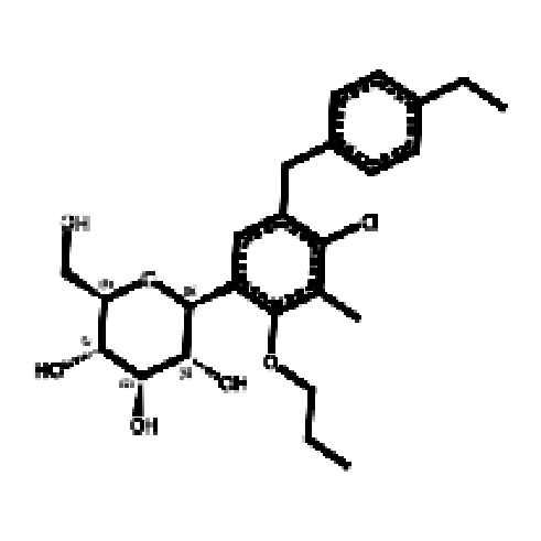 CCCOc1c([C@@H]2O[C@H](CO)[C@@H](O)[C@H](O)[C@H]2O)cc(Cc2ccc(CC)cc2)c(Cl)c1C